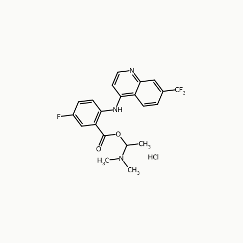 CC(OC(=O)c1cc(F)ccc1Nc1ccnc2cc(C(F)(F)F)ccc12)N(C)C.Cl